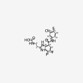 O=C(O)NCCc1nc2c(F)c(F)cc(C(=O)Nc3ccc(F)c(Cl)c3)c2[nH]1